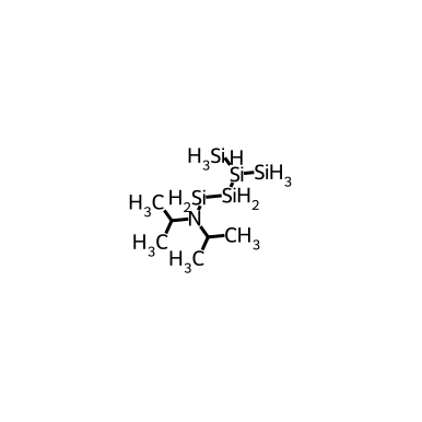 CC(C)N([SiH2][SiH2][SiH]([SiH3])[SiH3])C(C)C